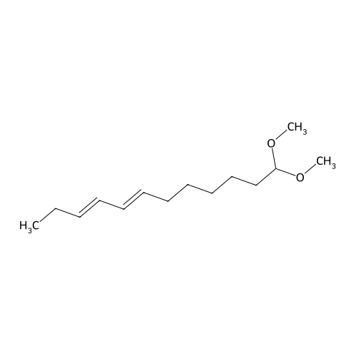 CCC=CC=CCCCCCC(OC)OC